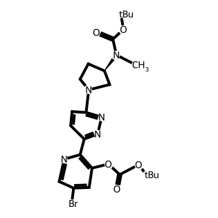 CN(C(=O)OC(C)(C)C)[C@@H]1CCN(c2ccc(-c3ncc(Br)cc3OC(=O)OC(C)(C)C)nn2)C1